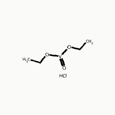 CC[O][V](=[O])[O]CC.Cl